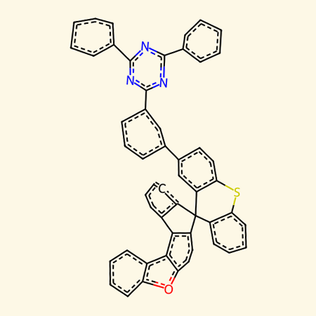 c1ccc(-c2nc(-c3ccccc3)nc(-c3cccc(-c4ccc5c(c4)C4(c6ccccc6S5)c5ccccc5-c5c4ccc4oc6ccccc6c54)c3)n2)cc1